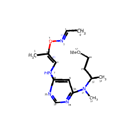 C/C=N/O/C(C)=C/Nc1cc(N(C)C(C)CCOC)ncn1